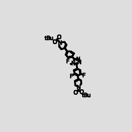 Cn1c(-c2cc(F)c(C3=CCN(C(=O)OC(C)(C)C)CC3)c(F)c2)nnc1-c1ccc(C2=CCN(C(=O)OC(C)(C)C)CC2)cc1F